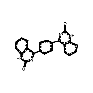 O=c1nc(-c2ccc(-c3nc(=O)[nH]c4ccccc34)cc2)c2ccccc2[nH]1